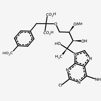 CO[C@H](COC(Cc1ccc(C(=O)O)cc1)(C(=O)O)C(=O)O)[C@@H](O)[C@@](C)(O)n1cnc2c(N)nc(Cl)nc21